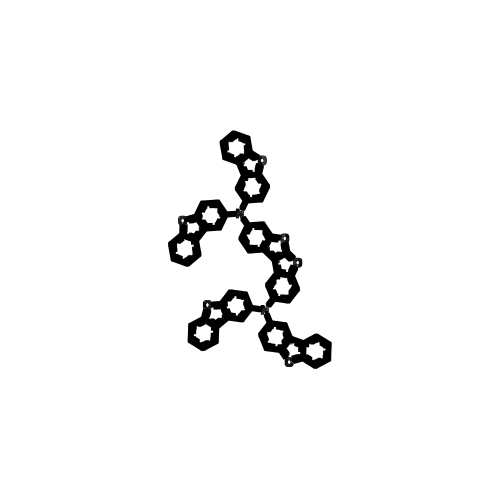 c1ccc2c(c1)oc1ccc(N(c3ccc4c(c3)oc3oc5ccc(N(c6ccc7oc8ccccc8c7c6)c6ccc7oc8ccccc8c7c6)cc5c34)c3ccc4oc5ccccc5c4c3)cc12